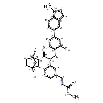 COC(=O)/C=C/c1cncc(N(Cc2ccc(-c3ccc4c(cnn4C)c3)cc2F)C(=O)[C@@H]2C[C@@H]3CC[C@H]2C3)c1